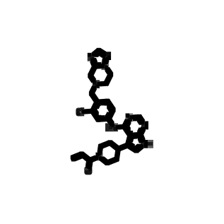 C=CC(=O)N1CCC(c2c[nH]c3ncnc(Nc4ccc(CN5CCn6ncnc6C5)c(Cl)c4)c23)CC1